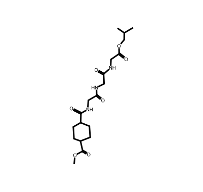 COC(=O)C1CCC(C(=O)NCC(=O)NCC(=O)NCC(=O)OCC(C)C)CC1